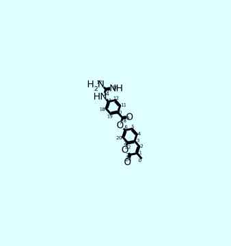 Cc1cc2ccc(OC(=O)c3ccc(NC(=N)N)cc3)cc2oc1=O